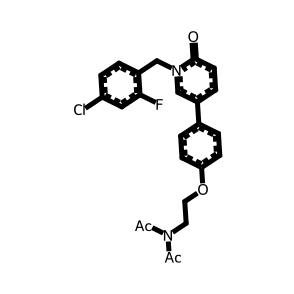 CC(=O)N(CCOc1ccc(-c2ccc(=O)n(Cc3ccc(Cl)cc3F)c2)cc1)C(C)=O